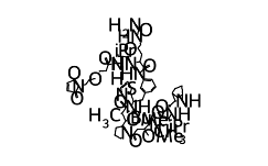 CCC(C)C(C(CC(=O)N1CCCC1C(OC)C(C)C(=O)NC(Cc1cccc(NC(=O)C(CCCNC(N)=O)NC(=O)C(NC(=O)CCOCCN2C(=O)C=CC2=O)C(C)C)c1)c1nccs1)OC)N(C)C(=O)C(NC(=O)C1NC2CCC1C2)C(C)C